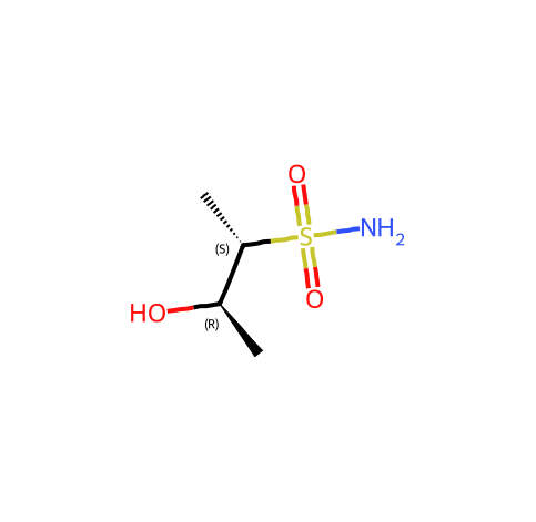 C[C@@H](O)[C@H](C)S(N)(=O)=O